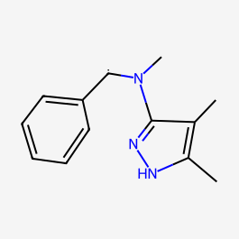 Cc1[nH]nc(N(C)[CH]c2ccccc2)c1C